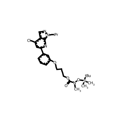 CC(C)n1ncc2c(Cl)cc(-c3cccc(OCCCOC(=O)N(C)O[Si](C)(C)C(C)(C)C)c3)nc21